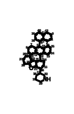 c1ccc2c(-c3c4ccccc4c(-c4ccc(C5CCCNC5)c5oc6ccccc6c45)c4ccccc34)cccc2c1